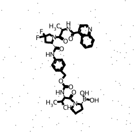 CC(C)[C@H](NC(=O)OCc1ccc(NC(=O)[C@@H]2CC(F)(F)CN2C(=O)[C@@H](C)NC(=O)c2ccnc3ccccc23)cc1)C(=O)N1CCC[C@H]1B(O)O